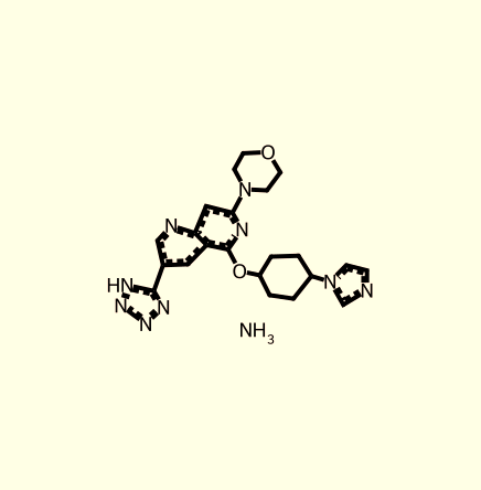 N.c1cn(C2CCC(Oc3nc(N4CCOCC4)cc4ncc(-c5nnn[nH]5)cc34)CC2)cn1